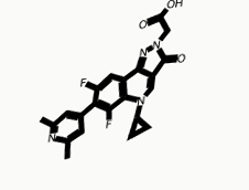 Cc1cc(-c2c(F)cc3c4nn(CC(=O)O)c(=O)c-4cn(C4CC4)c3c2F)cc(C)n1